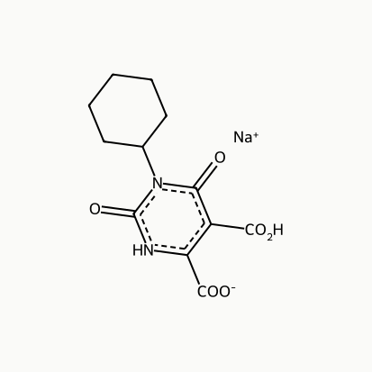 O=C([O-])c1[nH]c(=O)n(C2CCCCC2)c(=O)c1C(=O)O.[Na+]